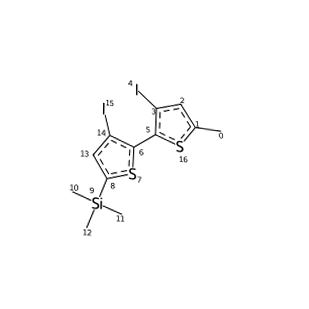 Cc1cc(I)c(-c2sc([Si](C)(C)C)cc2I)s1